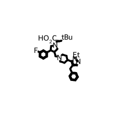 CCn1ncc(Cc2ccccc2)c1C1CCN(CC2CN([C@H](CC(C)(C)C)C(=O)O)CC2c2cccc(F)c2)CC1